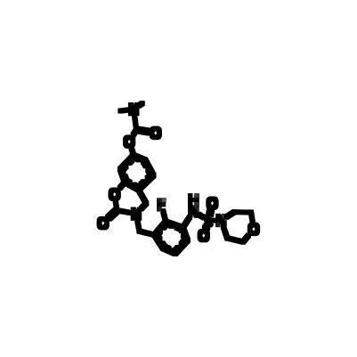 CN(C)C(=O)Oc1ccc2c(c1)OC(=O)N(Cc1cccc(NS(=O)(=O)N3CCOCC3)c1F)C2